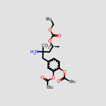 CCC(C)COC(=O)O[C@@H](C)CC(N)(Cc1ccc(OC(=O)C(C)(C)C)c(OC(=O)C(C)(C)C)c1)C(=O)O